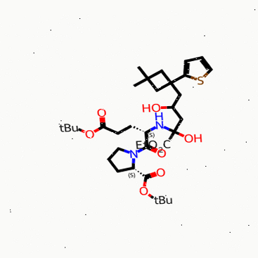 CCOC(=O)C(O)(CC(O)CC1(c2cccs2)CC(C)(C)C1)N[C@@H](CCC(=O)OC(C)(C)C)C(=O)N1CCC[C@H]1C(=O)OC(C)(C)C